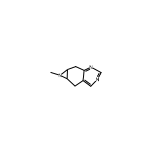 CN1C2Cc3cncnc3CC21